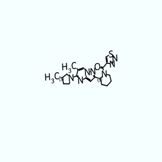 Cc1cn2nc([C@@H]3CCCCN3C(=O)c3csnn3)cc2nc1N1CC[C@H](C)C1